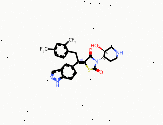 O=C1S/C(=C(/Cc2ccc(C(F)(F)F)cc2C(F)(F)F)c2ccc3[nH]ncc3c2)C(=O)N1[C@H]1CCNC[C@@H]1O